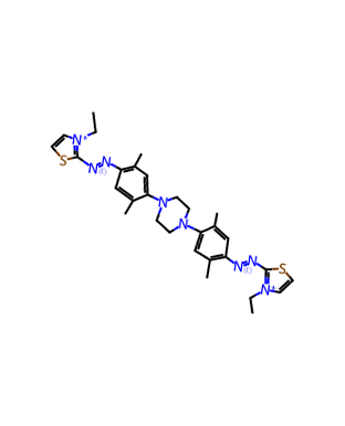 CC[n+]1ccsc1/N=N/c1cc(C)c(N2CCN(c3cc(C)c(/N=N/c4scc[n+]4CC)cc3C)CC2)cc1C